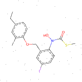 CCc1ccc(OCc2cc(I)ccc2N(O)C(=O)SC)c(C)c1